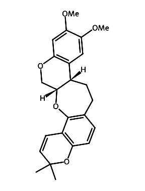 COc1cc2c(cc1OC)[C@@H]1CCc3ccc4c(c3O[C@@H]1CO2)C=CC(C)(C)O4